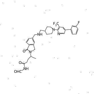 CC(CCC(=O)NC=O)N1Cc2cc(CNCC3CCN(c4ncc(-c5cccc(F)c5)cc4C(F)(F)F)CC3)ccc2C1=O